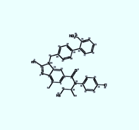 CCCc1nc2c(C)cc(C(=O)N(c3ccc(Cl)cc3)C(C)CS)cc2n1Cc1ccc(-c2ccccc2C(=O)O)cc1